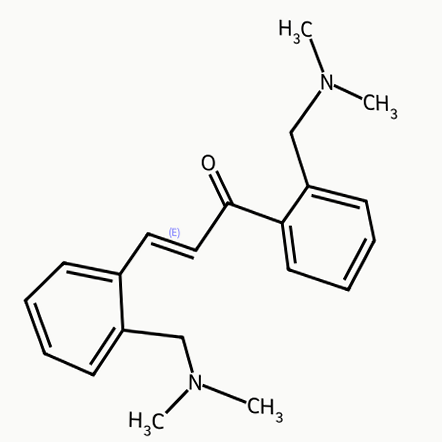 CN(C)Cc1ccccc1/C=C/C(=O)c1ccccc1CN(C)C